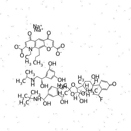 CC(C)(C)NCC(O)c1ccc(O)c(CO)c1.CC(C)NC[C@H](O)c1cc(O)cc(O)c1.CC1(C)O[C@@H]2C[C@H]3[C@@H]4C[C@H](F)C5=CC(=O)C=C[C@]5(C)[C@H]4[C@@H](O)C[C@]3(C)[C@]2(C(=O)CO)O1.CCCc1c2oc(C(=O)[O-])cc(=O)c2cc2c(=O)cc(C(=O)[O-])n(CC)c12.[Na+].[Na+]